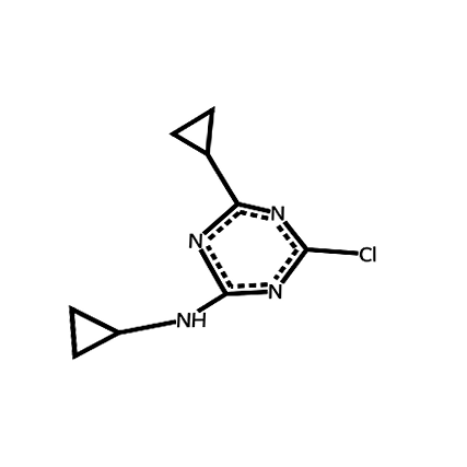 Clc1nc(NC2CC2)nc(C2CC2)n1